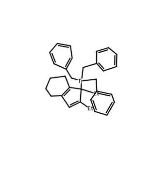 CCC1=CC2=C(CCCC2)[C]1(CC)[Ti]([CH2]c1ccccc1)([CH2]c1ccccc1)[CH2]c1ccccc1